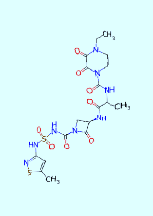 CCN1CCN(C(=O)NC(C)C(=O)N[C@@H]2CN(C(=O)NS(=O)(=O)Nc3cc(C)sn3)C2=O)C(=O)C1=O